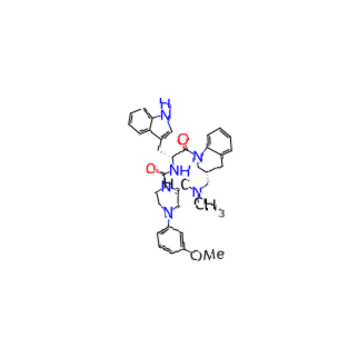 COc1cccc(N2CCN(C(=O)N[C@H](Cc3c[nH]c4ccccc34)C(=O)N3C[C@@H](CN(C)C)Cc4ccccc43)CC2)c1